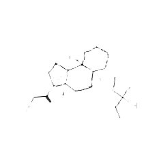 CCC(C)(O)CC[C@@H]1[C@H]2CC[C@]3(C)[C@@H](C(=O)CBr)CC[C@H]3[C@@H]2CC[C@@H]1C